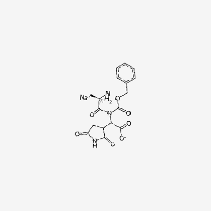 C[C@@H](N)C(=O)N(C(=O)OCc1ccccc1)C(C(=O)[O-])C1CC(=O)NC1=O.[Na+]